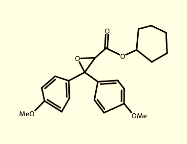 COc1ccc(C2(c3ccc(OC)cc3)OC2C(=O)OC2CCCCC2)cc1